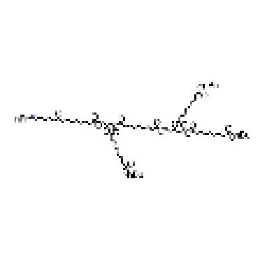 CCC/C=C/CCCCC(=O)CCCCCCCC(=O)OCC(COC(=O)CCCCCCCC(=O)OCCC(CCOC(=O)CCCCCCCC(=O)OCCCC)OC(=O)CCCCCCCC(=O)OCCCC)OC(=O)CCCCCCCC(=O)OCCCC